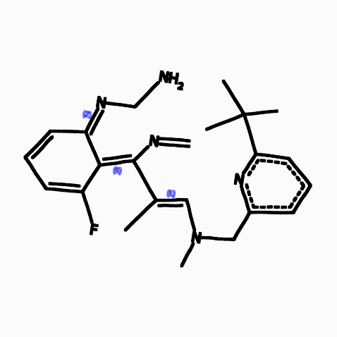 C=NC(/C(C)=C/N(C)Cc1cccc(C(C)(C)C)n1)=C1/C(F)=CC=C/C1=N/CN